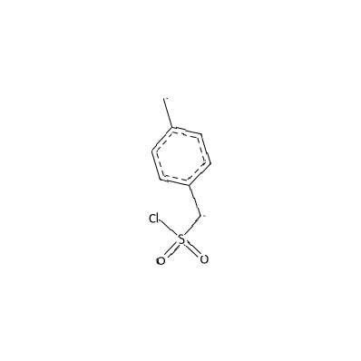 [CH2]c1ccc([CH]S(=O)(=O)Cl)cc1